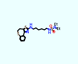 CCN(CC)S(=O)(=O)NCCCCCCNc1nc2c(s1)CCSc1ccccc1-2